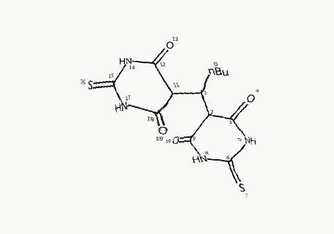 CCCC[C](C1C(=O)NC(=S)NC1=O)C1C(=O)NC(=S)NC1=O